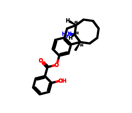 C[C@@]12CCCCC[C@@H](Cc3ccc(OC(=O)c4ccccc4O)cc31)[C@@H]2N